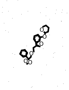 c1ccc(C2(COCCc3coc4c(OC5CCCCO5)cccc34)OCO2)cc1